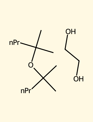 CCCC(C)(C)OC(C)(C)CCC.OCCO